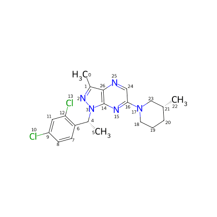 Cc1nn([C@H](C)c2ccc(Cl)cc2Cl)c2nc(N3CCC[C@@H](C)C3)cnc12